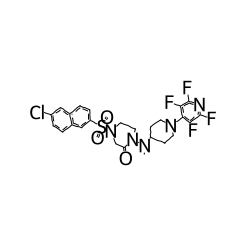 CN(C1CCN(c2c(F)c(F)nc(F)c2F)CC1)N1CCN(S(=O)(=O)c2ccc3cc(Cl)ccc3c2)CC1=O